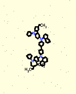 C=CC1=C/C(=C)c2cc(N(c3ccc(-c4ccc(N(C5=Cc6c(n(-c7ccccc7)c7ccc(C=C)cc67)CC5)c5cccc6ccccc56)cc4)cc3)c3cccc4ccccc34)ccc2N(c2ccccc2)/C=C\1